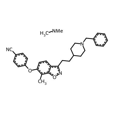 CNC.Cc1c(Oc2ccc(C#N)cc2)ccc2c(CCC3CCN(Cc4ccccc4)CC3)noc12